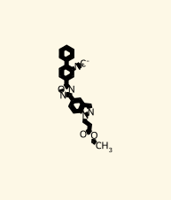 [C-]#[N+]c1cc(-c2nc(-c3ccc4c(cnn4CCC(=O)OCC)c3)no2)ccc1-c1ccccc1